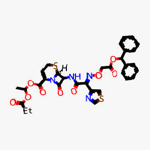 CCC(=O)OC(C)OC(=O)C1=CCS[C@H]2C(NC(=O)C(=NOCC(=O)OC(c3ccccc3)c3ccccc3)c3cscn3)C(=O)N12